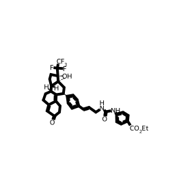 CCOC(=O)c1ccc(NC(=O)NC/C=C/c2ccc([C@H]3C[C@@]4(C)[C@@H](CC[C@@]4(O)C(F)(F)C(F)(F)F)[C@@H]4CCC5=CC(=O)CCC5=C43)cc2)cc1